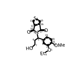 CCOc1cc(C(CCO)N2C(=O)c3cscc3C2=O)ccc1OC